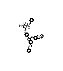 Cc1cc(Cc2c(-c3ccc(OCC4CNC(=O)N4C(=O)OCc4ccccc4)cc3)sc3cc(OCc4ccccc4)ccc23)ccc1CN1CCCC1